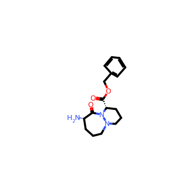 N[C@H]1CCCN2CCC[C@@H](C(=O)OCc3ccccc3)N2C1=O